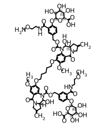 C=C1C[C@H]2C(O)N(C(=O)OCc3ccc(O[C@@H]4O[C@H](C(=O)O)[C@@H](O)[C@H](O)[C@H]4O)c(C(=O)NCCOC)c3)c3cc(OCCCCCOc4cc5c(cc4OC)C(=O)N4CC(=C)C[C@H]4C(O)N5C(=O)OCc4ccc(O[C@@H]5O[C@H](C(=O)O)[C@@H](O)[C@H](O)[C@H]5O)c(C(=O)NCCON)c4)c(OC)cc3C(=O)N2C1